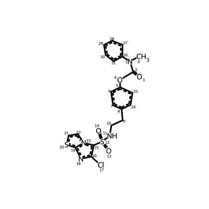 CN(C(=O)Oc1ccc(CCNS(=O)(=O)c2c(Cl)nc3sccn23)cc1)c1ccccc1